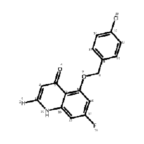 [2H]c1cc(=O)c2c(OCc3ccc(Cl)cc3)cc(F)cc2[nH]1